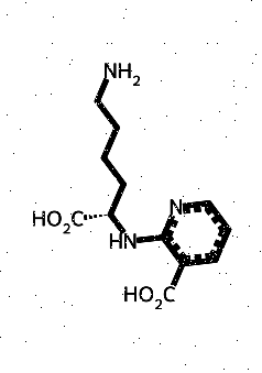 NCCCC[C@H](Nc1ncccc1C(=O)O)C(=O)O